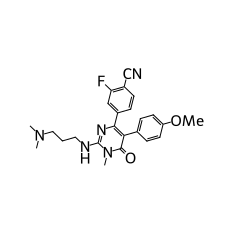 COc1ccc(-c2c(-c3ccc(C#N)c(F)c3)nc(NCCCN(C)C)n(C)c2=O)cc1